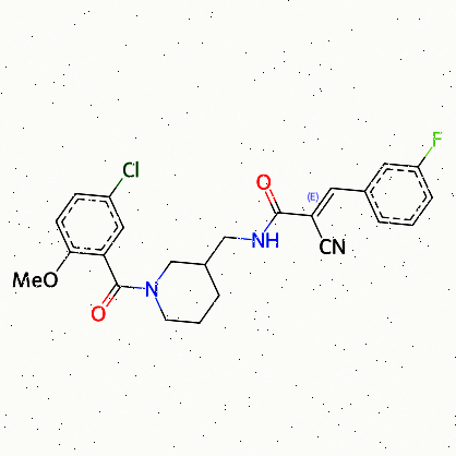 COc1ccc(Cl)cc1C(=O)N1CCCC(CNC(=O)/C(C#N)=C/c2cccc(F)c2)C1